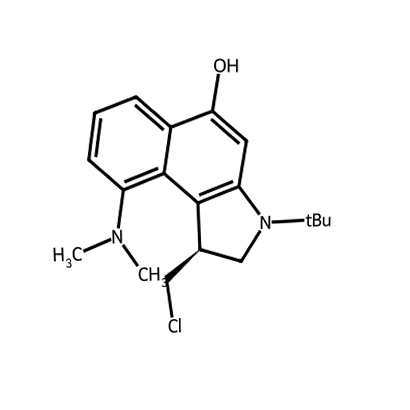 CN(C)c1cccc2c(O)cc3c(c12)[C@H](CCl)CN3C(C)(C)C